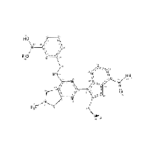 CN1Cc2nc(-n3c(CN)cc4c(C(N)=O)cccc43)nc(NCc3cccc(B(O)O)c3)c2C1